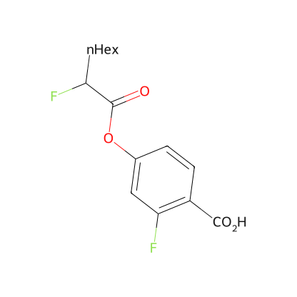 CCCCCCC(F)C(=O)Oc1ccc(C(=O)O)c(F)c1